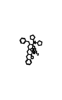 NC(=O)C(Cc1ccccc1)CC(O)CC(Cc1ccccc1)C(=O)N(C1CCCC1)C1CCCC1